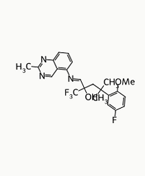 COc1ccc(F)cc1C(C)(C)CC(O)(C=Nc1cccc2nc(C)ncc12)C(F)(F)F